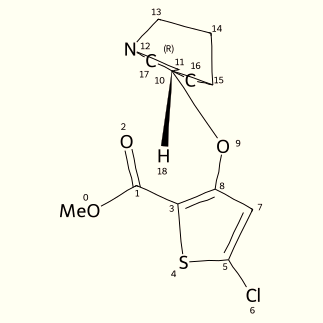 COC(=O)c1sc(Cl)cc1O[C@H]1CN2CCC1CC2